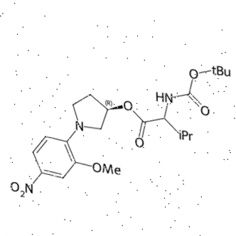 COc1cc([N+](=O)[O-])ccc1N1CC[C@@H](OC(=O)C(NC(=O)OC(C)(C)C)C(C)C)C1